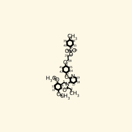 CCC(=O)N(Cc1cc(OC)ccc1OC)c1cccnc1Oc1ccc(OCCOS(=O)(=O)c2ccc(C)cc2)cc1